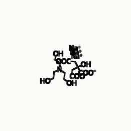 O=C([O-])CC(O)(CC(=O)[O-])C(=O)[O-].OCCN(CCO)CCO.[Na+].[Na+].[Na+]